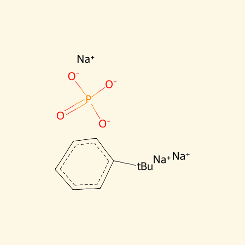 CC(C)(C)c1ccccc1.O=P([O-])([O-])[O-].[Na+].[Na+].[Na+]